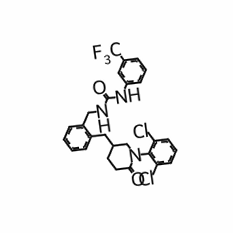 O=C(NCc1ccccc1CC1CCC(=O)N(c2c(Cl)cccc2Cl)C1)Nc1cccc(C(F)(F)F)c1